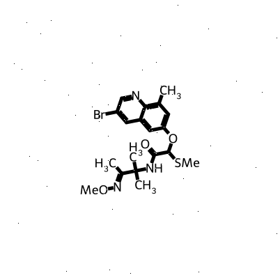 CON=C(C)C(C)(C)NC(=O)C(Oc1cc(C)c2ncc(Br)cc2c1)SC